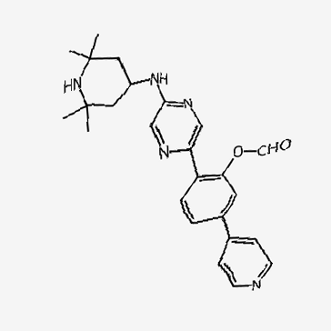 CC1(C)CC(Nc2cnc(-c3ccc(-c4ccncc4)cc3OC=O)cn2)CC(C)(C)N1